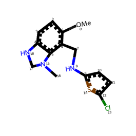 COc1ccc2c(c1CNc1ccc(Cl)s1)N(C)CN2